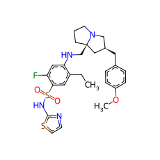 CCc1cc(S(=O)(=O)Nc2nccs2)c(F)cc1NC[C@@]12CCCN1C[C@@H](Cc1ccc(OC)cc1)C2